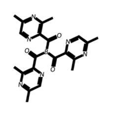 Cc1cnc(C(=O)B(C(=O)c2ncc(C)nc2C)C(=O)c2ncc(C)nc2C)c(C)n1